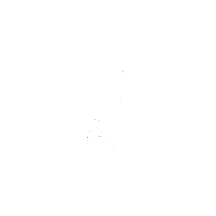 COc1c(Cl)ccc(Cl)c1C(=O)OCC1OC(O)CC(O)C1O